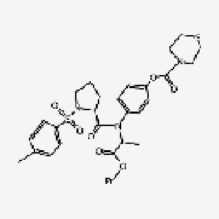 Cc1ccc(S(=O)(=O)N2CCC[C@H]2C(=O)N(c2ccc(OC(=O)N3CCSCC3)cc2)[C@@H](C)C(=O)OC(C)C)cc1